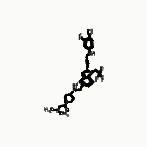 CN(C)CC(=O)N1CCC(NCc2ccc3c(c2)cc(C#CCNc2ccc(Cl)c(F)c2)n3CC(F)(F)F)CC1